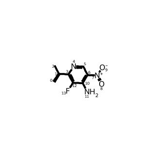 C=C(C)c1ncc([N+](=O)[O-])c(N)c1F